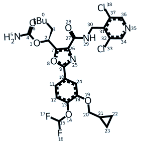 CC(C)(C)C[C@H](OC(N)=O)c1oc(-c2ccc(OC(F)F)c(OCC3CC3)c2)nc1C(=O)NCc1c(Cl)cncc1Cl